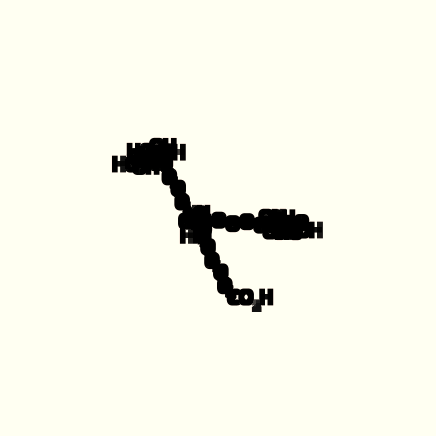 O=C(O)CCOCCOCCOCCOCCNC(=O)CC(C(=O)NCCOCCOCCOCCOC(O)C(O)C(O)C(O)CCOP(=O)(O)O)C(=O)NCCOCCOCCOCCOC1OC(COP(=O)(O)O)C(O)C(O)C1O